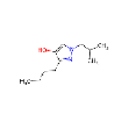 CCCCc1nn(CC(C)C)cc1O